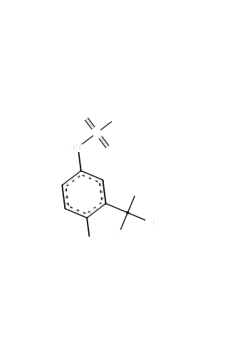 Cc1ccc(NS(C)(=O)=O)cc1C(C)(C)C